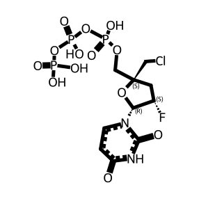 O=c1ccn([C@@H]2O[C@](CCl)(COP(=O)(O)OP(=O)(O)OP(=O)(O)O)C[C@@H]2F)c(=O)[nH]1